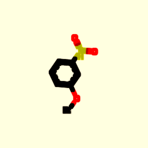 CCOc1cccc([SH](=O)=O)c1